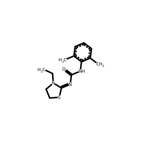 CCN1CCSC1=NC(=O)Nc1c(C)cccc1C